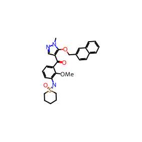 COc1c(N=S2(=O)CCCCC2)cccc1C(=O)c1cnn(C)c1OCc1ccc2ccccc2c1